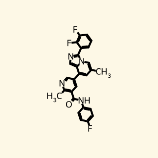 Cc1cc(-c2cnc(C)c(C(=O)Nc3ccc(F)cc3)c2)c2cnc(-c3cccc(F)c3F)n2c1